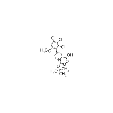 COc1cc(Cl)c(Cl)c(Cl)c1N1CCN(C(=O)OC(C)(C)C)C(C(=O)O)C1